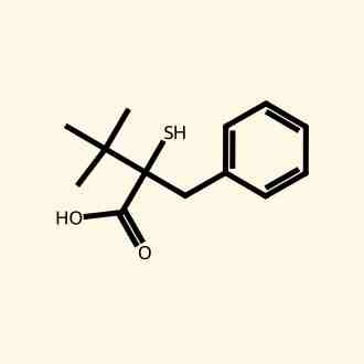 CC(C)(C)C(S)(Cc1ccccc1)C(=O)O